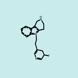 FC1C=NC=C(CCn2c3c(c4ccccc42)CNCC3)C1